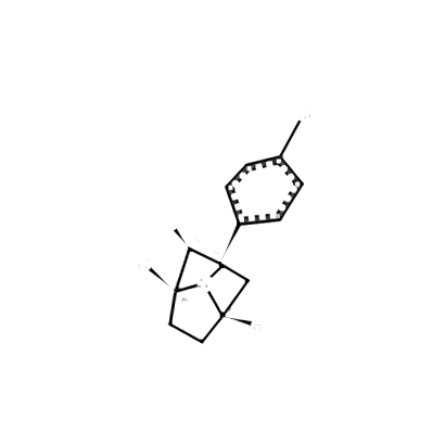 C[C@H]1[C@@H](c2ccc(Cl)cc2)C[C@@H]2CC[C@H]1N2C